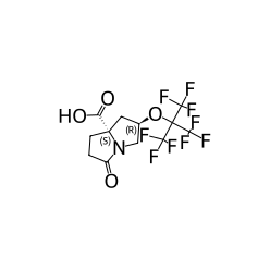 O=C1CC[C@@]2(C(=O)O)C[C@@H](OC(C(F)(F)F)(C(F)(F)F)C(F)(F)F)CN12